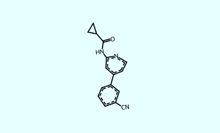 N#Cc1cccc(-c2ccnc(NC(=O)C3CC3)c2)c1